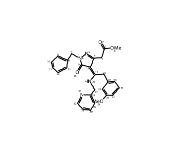 COC(=O)CC1=NN(Cc2ccccc2)C(=O)C1=C(Cc1cccc(OC)c1)NCc1ccccn1